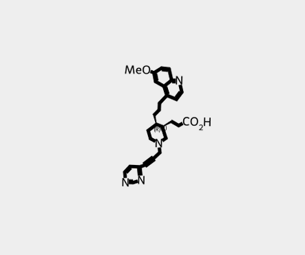 COc1ccc2nccc(CCC[C@@H]3CCN(CC#Cc4ccncn4)C[C@@H]3CCC(=O)O)c2c1